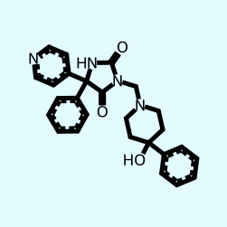 O=C1NC(c2ccccc2)(c2ccncc2)C(=O)N1CN1CCC(O)(c2ccccc2)CC1